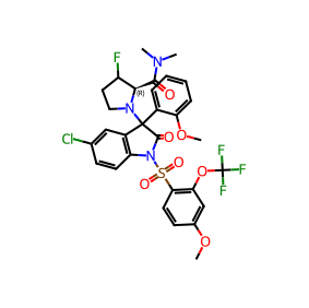 COc1ccc(S(=O)(=O)N2C(=O)C(c3ccccc3OC)(N3CCC(F)[C@H]3C(=O)N(C)C)c3cc(Cl)ccc32)c(OC(F)(F)F)c1